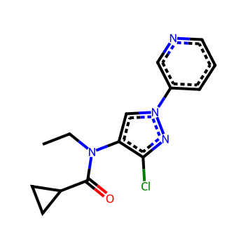 CCN(C(=O)C1CC1)c1cn(-c2cccnc2)nc1Cl